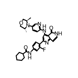 C[C@@H]1COC[C@@H](C)N1c1ccc(Nc2cc(-c3ccc(NC(=O)C4CCCCC4)cc3F)nc3cc[nH]c(=O)c23)nc1